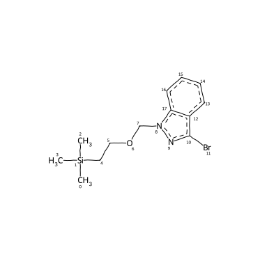 C[Si](C)(C)CCOCn1nc(Br)c2ccccc21